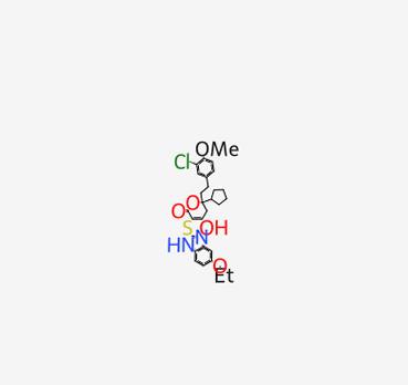 CCOc1ccc2[nH]c(SC3=C(O)CC(CCc4ccc(OC)c(Cl)c4)(C4CCCC4)OC3=O)nc2c1